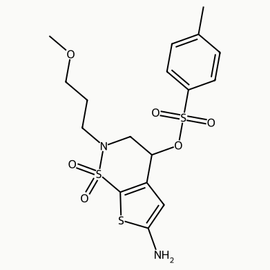 COCCCN1CC(OS(=O)(=O)c2ccc(C)cc2)c2cc(N)sc2S1(=O)=O